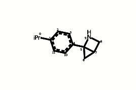 CC(C)c1ccc(C23CC2CN3)cc1